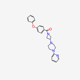 O=C(c1ccc(Oc2ccccc2)cc1)N1CC(N2CCN(c3ccccn3)CC2)C1